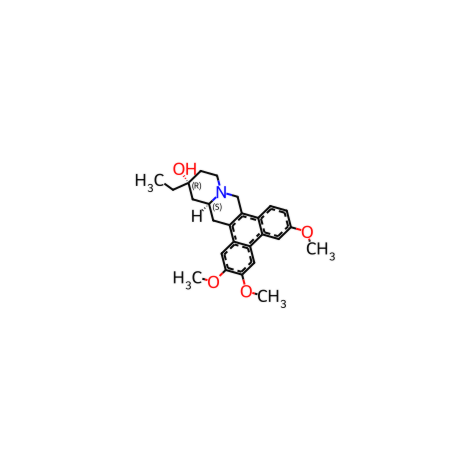 CC[C@@]1(O)CCN2Cc3c(c4cc(OC)c(OC)cc4c4cc(OC)ccc34)C[C@H]2C1